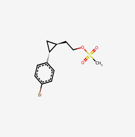 CS(=O)(=O)OCC[C@@H]1C[C@H]1c1ccc(Br)cc1